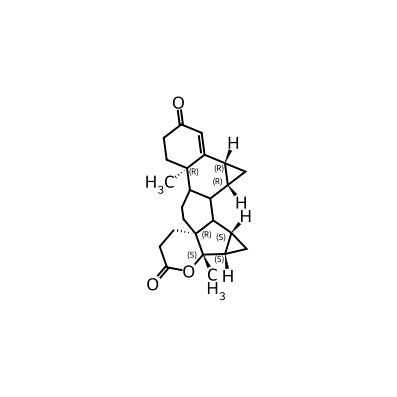 C[C@]12CCC(=O)C=C1[C@@H]1C[C@@H]1C1C3[C@@H]4C[C@@H]4[C@]4(C)OC(=O)CC[C@]34CCC12